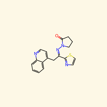 O=C1CCCN1N=C(Cc1ccnc2ccccc12)c1nccs1